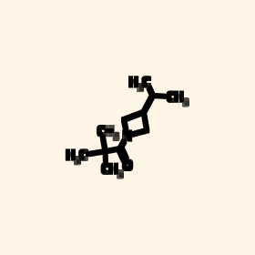 CC(C)C1CN(C(=O)C(C)(C)C)C1